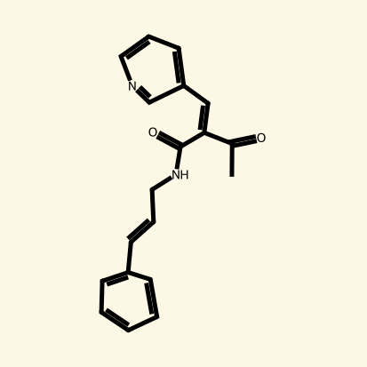 CC(=O)C(=Cc1cccnc1)C(=O)NCC=Cc1ccccc1